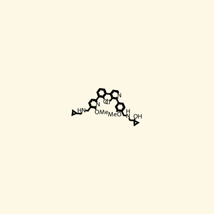 COc1cc(-c2nccc(-c3cccc(-c4ccc(CNCC5CC5)c(OC)n4)c3Cl)c2Cl)ccc1CNCC1(O)CC1